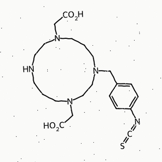 O=C(O)CN1CCCN(Cc2ccc(N=C=S)cc2)CCN(CC(=O)O)CCCNCC1